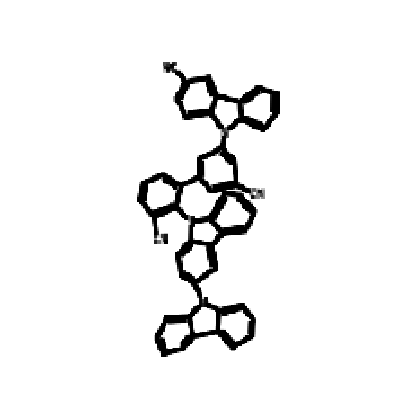 N#Cc1cc(-c2cccc(C#N)c2-n2c3ccccc3c3cc(-n4c5ccccc5c5ccccc54)ccc32)cc(-n2c3ccccc3c3cc(C#N)ccc32)c1